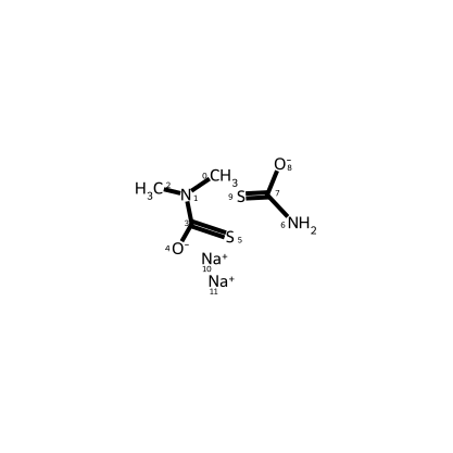 CN(C)C([O-])=S.NC([O-])=S.[Na+].[Na+]